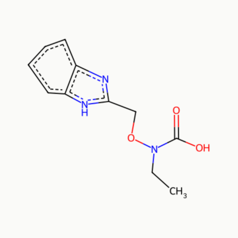 CCN(OCc1nc2ccccc2[nH]1)C(=O)O